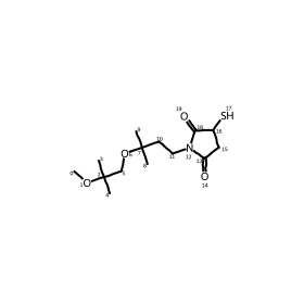 COC(C)(C)COC(C)(C)CCN1C(=O)CC(S)C1=O